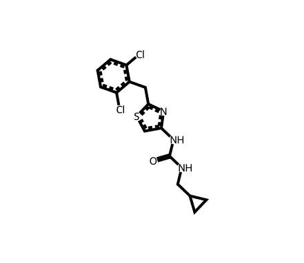 O=C(NCC1CC1)Nc1csc(Cc2c(Cl)cccc2Cl)n1